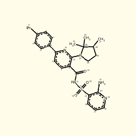 CC(C)c1ccc(-c2ccc(C(=O)NS(=O)(=O)c3cccnc3N)c(N3CCC(C)C3(C)C)n2)cc1